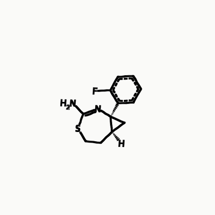 NC1=N[C@@]2(c3ccccc3F)C[C@H]2CCS1